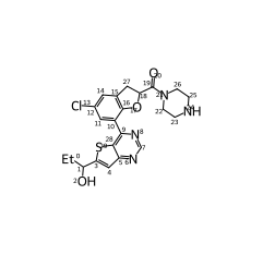 CCC(O)c1cc2ncnc(-c3cc(Cl)cc4c3OC(C(=O)N3CCNCC3)C4)c2s1